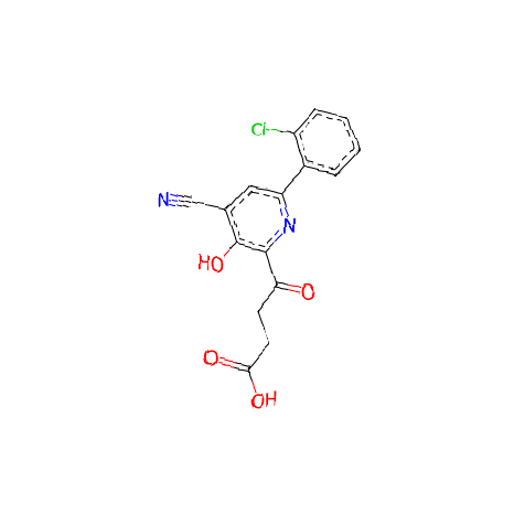 N#Cc1cc(-c2ccccc2Cl)nc(C(=O)CCC(=O)O)c1O